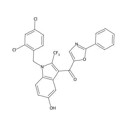 O=C(c1cnc(-c2ccccc2)o1)c1c(C(F)(F)F)n(Cc2ccc(Cl)cc2Cl)c2ccc(O)cc12